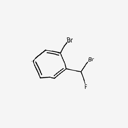 FC(Br)c1cc[c]cc1Br